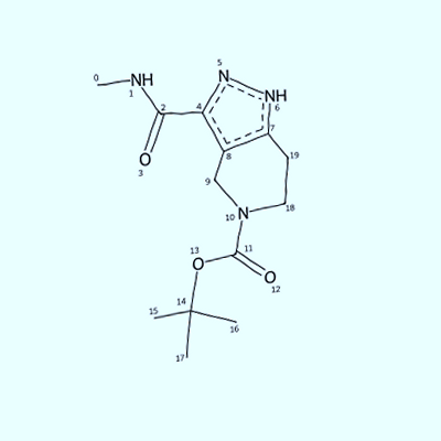 CNC(=O)c1n[nH]c2c1CN(C(=O)OC(C)(C)C)CC2